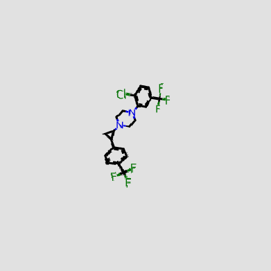 FC(F)(F)c1ccc(C2CC2N2CCN(c3cc(C(F)(F)F)ccc3Cl)CC2)cc1